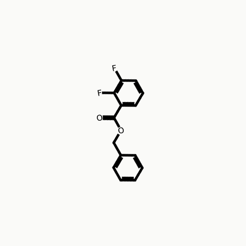 O=C(OCc1ccccc1)c1cccc(F)c1F